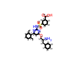 Cc1cccc(C)c1-c1cc(OC[C@H](N)Cc2ccccc2)nc(NS(=O)(=O)c2cccc(C(=O)O)c2)n1